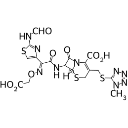 Cn1nnnc1SCC1=C(C(=O)O)N2C(=O)C(NC(=O)C(=NOCC(=O)O)c3csc(NC=O)n3)[C@@H]2SC1